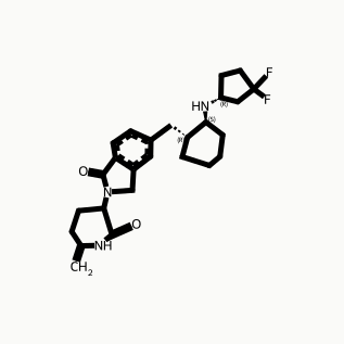 C=C1CCC(N2Cc3cc(C[C@H]4CCCC[C@@H]4N[C@@H]4CCC(F)(F)C4)ccc3C2=O)C(=O)N1